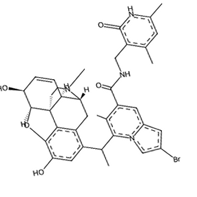 Cc1cc(C)c(CNC(=O)c2cc3cc(Br)cn3c(C(C)c3cc(O)c4c5c3C[C@@H]3[C@@H]6C=C[C@H](O)[C@H](O4)[C@]56CCN3C)c2C)c(=O)[nH]1